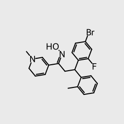 Cc1ccccc1C(CC(=NO)C1=CN(C)CC=C1)c1ccc(Br)cc1F